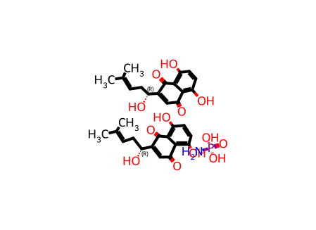 CC(C)=CC[C@@H](O)C1=CC(=O)c2c(O)ccc(O)c2C1=O.CC(C)=CC[C@@H](O)C1=CC(=O)c2c(O)ccc(O)c2C1=O.NP(=O)(O)O